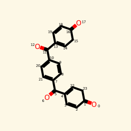 O=C1C=CC(C(=O)c2ccc(C(=O)C3=CCC(=O)C=C3)cc2)=CC1